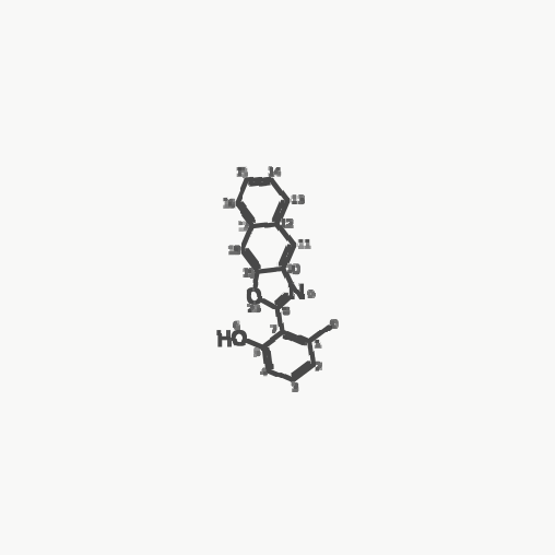 Cc1cccc(O)c1-c1nc2cc3ccccc3cc2o1